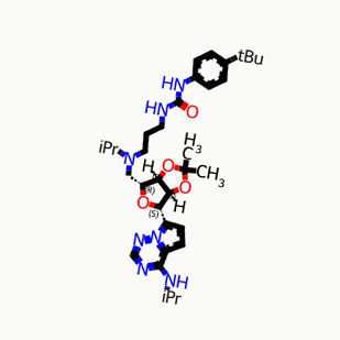 CC(C)Nc1ncnn2c([C@@H]3O[C@H](CN(CCCNC(=O)Nc4ccc(C(C)(C)C)cc4)C(C)C)[C@H]4OC(C)(C)O[C@H]43)ccc12